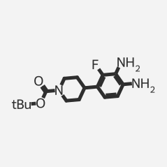 CC(C)(C)OC(=O)N1CCC(c2ccc(N)c(N)c2F)CC1